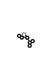 Clc1ccc(-c2cc3ccccc3c3ccccc23)cc1-c1ccc2ccccc2c1